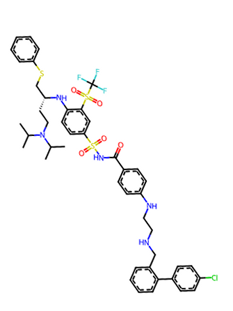 CC(C)N(CC[C@H](CSc1ccccc1)Nc1ccc(S(=O)(=O)NC(=O)c2ccc(NCCNCc3ccccc3-c3ccc(Cl)cc3)cc2)cc1S(=O)(=O)C(F)(F)F)C(C)C